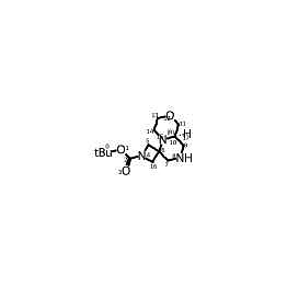 CC(C)(C)OC(=O)N1CC2(CNC[C@@H]3COCCN32)C1